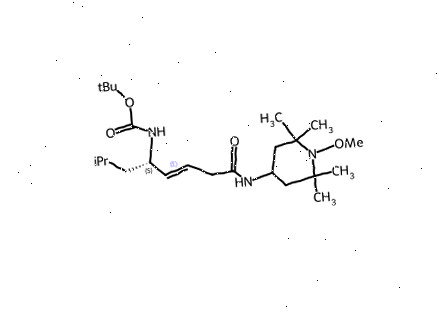 CON1C(C)(C)CC(NC(=O)C/C=C/[C@H](CC(C)C)NC(=O)OC(C)(C)C)CC1(C)C